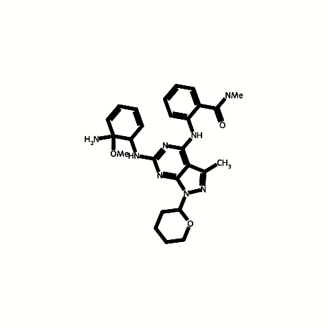 CNC(=O)c1ccccc1Nc1nc(NC2C=CC=CC2(N)OC)nc2c1c(C)nn2C1CCCCO1